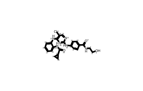 O=C(NCCO)c1ccc(Nc2ncc(Cl)c(Nc3ccccc3NC(=O)C3CC3)n2)cc1